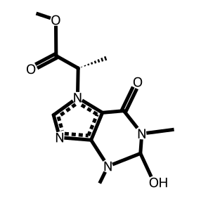 COC(=O)[C@H](C)n1cnc2c1C(=O)N(C)C(O)N2C